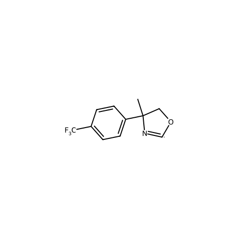 CC1(c2ccc(C(F)(F)F)cc2)CO[C]=N1